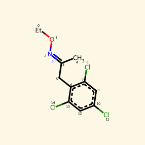 CCO/N=C(\C)Cc1c(Cl)cc(Cl)cc1Cl